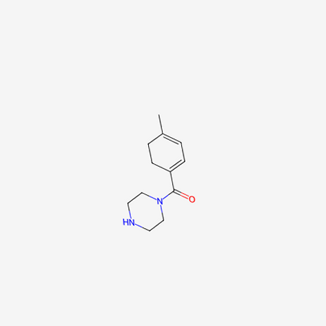 CC1=CC=C(C(=O)N2CCNCC2)CC1